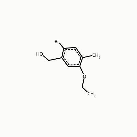 CCOc1cc(CO)c(Br)cc1C